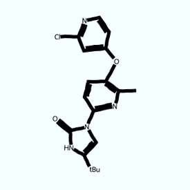 Cc1nc(-n2cc(C(C)(C)C)[nH]c2=O)ccc1Oc1ccnc(Cl)c1